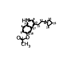 CC(=O)Oc1ccc2[nH]cc(CCN3CCC3)c2c1